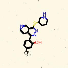 Oc1cc(C(F)(F)F)ccc1-c1nnc(S[C@@H]2CCCNC2)c2cnccc12